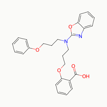 O=C(O)c1ccccc1OCCCN(CCCOc1ccccc1)c1nc2ccccc2o1